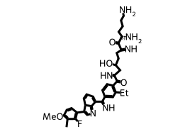 CCc1cc(C(=N)C2=CC=CC3C(c4ccc(OC)c(C)c4F)=CN=C23)ccc1C(=O)C(=N)CC(O)CCC(=N)C(=O)[C@@H](N)CCCCN